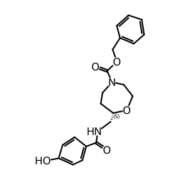 O=C(NC[C@@H]1CCN(C(=O)OCc2ccccc2)CCO1)c1ccc(O)cc1